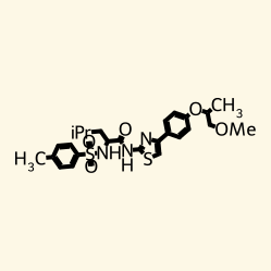 COCC(C)Oc1ccc(-c2csc(NC(=O)C(CC(C)C)NS(=O)(=O)c3ccc(C)cc3)n2)cc1